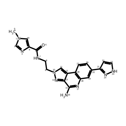 Cn1cnc(C(=O)NCCn2cc3c(n2)c(N)nc2cc(-c4cc[nH]n4)ccc23)c1